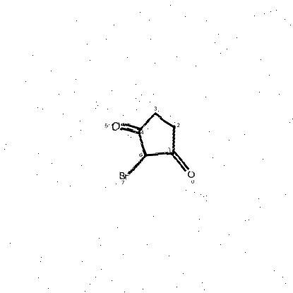 O=C1CCC(=O)C1Br